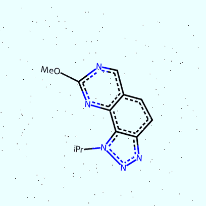 COc1ncc2ccc3nnn(C(C)C)c3c2n1